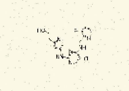 OCCn1cc(Nc2ncc(Cl)c(NCc3ncccc3F)n2)cn1